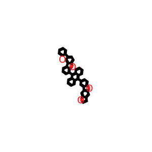 c1ccc2c(c1)oc1c2ccc2oc3c(-c4c5ccccc5c(-c5ccc6oc7cc8ccoc8cc7c6c5)c5ccccc45)cccc3c21